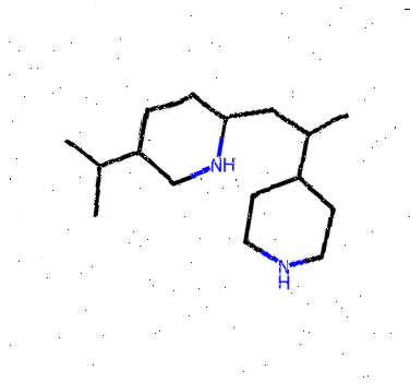 CC(C)C1CCC(CC(C)C2CCNCC2)NC1